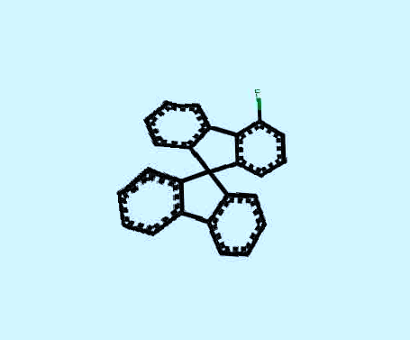 Fc1cccc2c1-c1ccccc1C21c2ccccc2-c2ccccc21